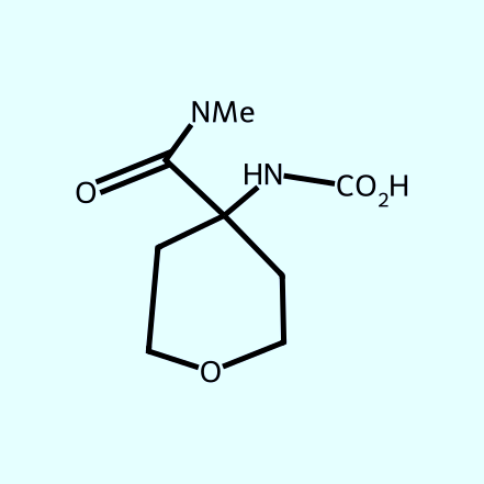 CNC(=O)C1(NC(=O)O)CCOCC1